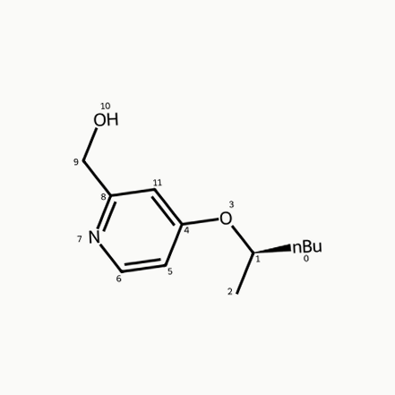 CCCC[C@@H](C)Oc1ccnc(CO)c1